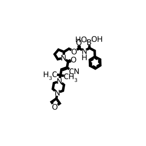 CC(C)(C=C(C#N)C(=O)N1CCCC1COC(=O)NC(Cc1ccccc1)B(O)O)N1CCN(C2COC2)CC1